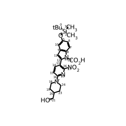 CC(C)(C)[Si](C)(C)Oc1ccc2c(c1)cc(-c1ccc(N3CCC(CO)CC3)nc1[N+](=O)[O-])n2C(=O)O